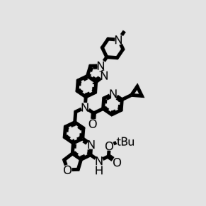 CN1CCC(n2cc3ccc(N(Cc4ccc5c6c(c(NC(=O)OC(C)(C)C)nc5c4)COC6)C(=O)c4ccc(C5CC5)nc4)cc3n2)CC1